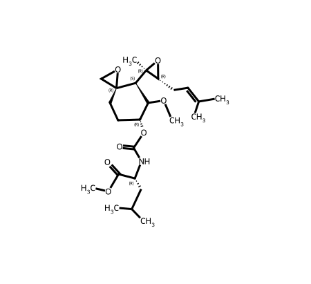 COC(=O)[C@@H](CC(C)C)NC(=O)O[C@@H]1CC[C@]2(CO2)[C@@H]([C@@]2(C)O[C@@H]2CC=C(C)C)C1OC